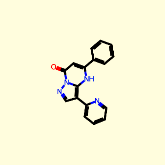 O=c1cc(-c2ccccc2)[nH]c2c(-c3ccccn3)cnn12